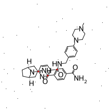 CN1CCN(c2ccc(CNC(=O)c3ccc(N4[C@@H]5CC[C@H]4C[C@@H](NC(=O)c4ccc(C(N)=O)cc4)C5)nc3)cc2)CC1